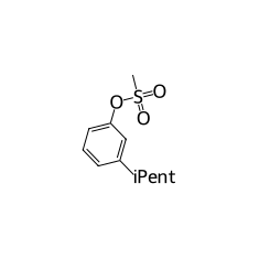 CCCC(C)c1cccc(OS(C)(=O)=O)c1